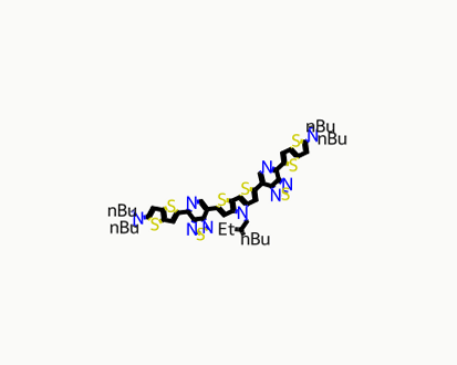 CCCCC(CC)Cn1c2cc(-c3cnc(-c4cc5sc(N(CCCC)CCCC)cc5s4)c4nsnc34)sc2c2sc(-c3cnc(-c4cc5sc(N(CCCC)CCCC)cc5s4)c4nsnc34)cc21